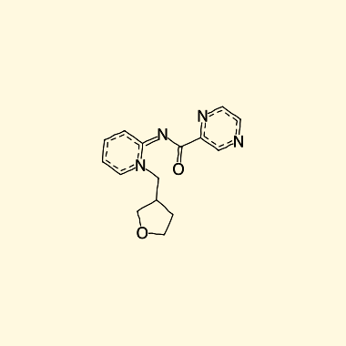 O=C(N=c1ccccn1CC1CCOC1)c1cnccn1